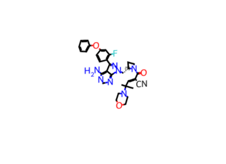 CC(C)(C=C(C#N)C(=O)N1CC[C@H]1Cn1nc(-c2ccc(Oc3ccccc3)cc2F)c2c(N)ncnc21)N1CCOCC1